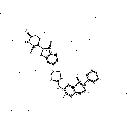 O=C1CCC(N2Cc3cc(C4CCN(Cc5ccc6ncn(-c7cccnc7)c(=O)c6c5)CC4)ccc3C2=O)C(=O)N1